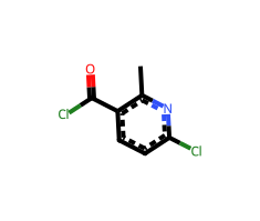 Cc1nc(Cl)ccc1C(=O)Cl